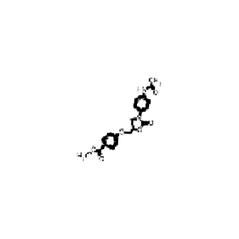 COC(=O)c1ccc(OCC2CN(c3ccc(NC(C)=O)cc3)C(=O)O2)cc1